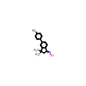 CC1(C)C/C(=N\O)c2ccc(-c3ccc(C#N)cc3)cc21